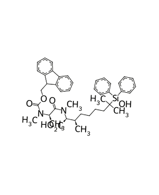 C[C@H](CCCCC(C)(C)[Si](O)(c1ccccc1)c1ccccc1)[C@@H](C(=O)O)N(C)C(=O)[C@@H](C)N(C)C(=O)OCC1c2ccccc2-c2ccccc21